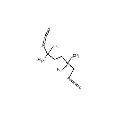 CC(C)(CCC(C)(C)N=C=O)CN=C=O